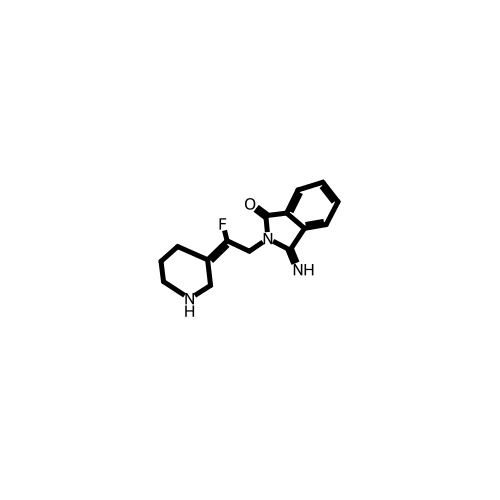 N=C1c2ccccc2C(=O)N1C/C(F)=C1/CCCNC1